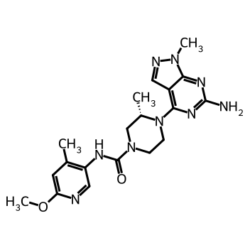 COc1cc(C)c(NC(=O)N2CCN(c3nc(N)nc4c3cnn4C)[C@@H](C)C2)cn1